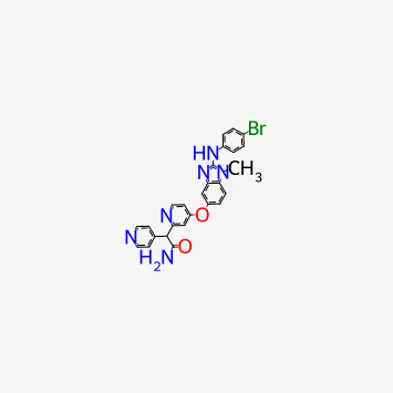 Cn1c(Nc2ccc(Br)cc2)nc2cc(Oc3ccnc(C(C(N)=O)c4ccncc4)c3)ccc21